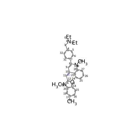 CCN(CC)Cc1ccc(C2=C/C(=C/c3oc4ccc(C)cc4[n+]3C)c3ccccc3N2C)cc1